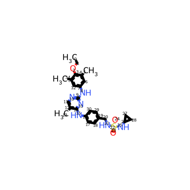 CCOc1c(C)cc(Nc2ncc(C)c(Nc3ccc(CNS(=O)(=O)NC4CC4)cc3)n2)cc1C